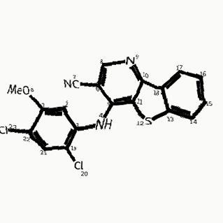 COc1cc(Nc2c(C#N)cnc3c2sc2ccccc23)c(Cl)cc1Cl